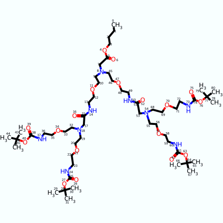 CCCCOC(=O)CN(CCOCCNC(=O)CN(CCOCCNC(=O)OC(C)(C)C)CCOCCNC(=O)OC(C)(C)C)CCOCCNC(=O)CN(CCOCCNC(=O)OC(C)(C)C)CCOCCNC(=O)OC(C)(C)C